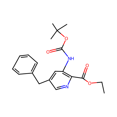 CCOC(=O)c1ncc(Cc2ccccc2)cc1NC(=O)OC(C)(C)C